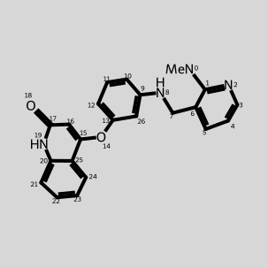 CNc1ncccc1CNc1cccc(Oc2cc(=O)[nH]c3ccccc23)c1